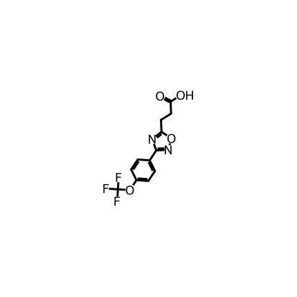 O=C(O)CCc1nc(-c2ccc(OC(F)(F)F)cc2)no1